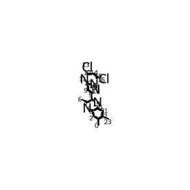 Cc1cc2nc(C)c(-c3cc4nc(Cl)cc(Cl)n4n3)nc2cc1C